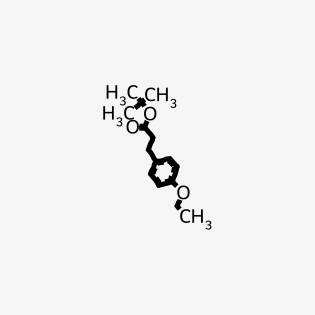 CCOc1ccc(CCC(=O)OC(C)(C)C)cc1